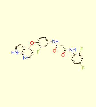 O=C(CC(=O)Nc1ccc(F)cc1F)Nc1ccc(Oc2ccnc3[nH]ccc23)c(F)c1